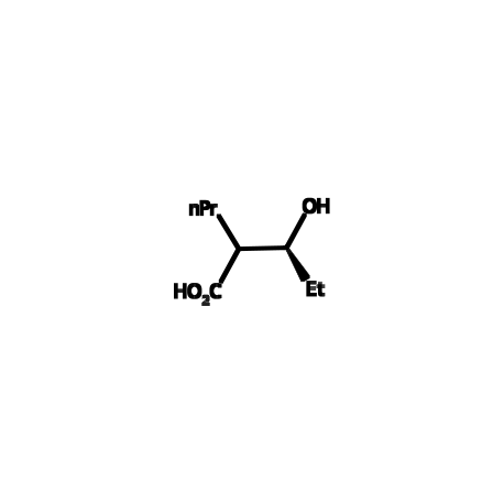 CCCC(C(=O)O)[C@@H](O)CC